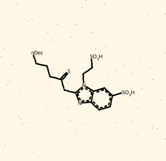 CCCCCCCCCCCCCC(=S)Cc1nc2ccc(S(=O)(=O)O)cc2n1CCS(=O)(=O)O